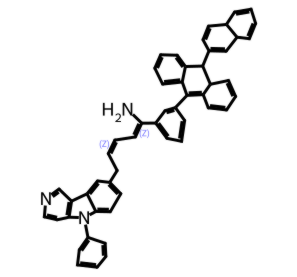 N/C(=C\C=C/Cc1ccc2c(c1)c1cnccc1n2-c1ccccc1)c1cccc(C2=C3C=CC=CC3C(C3=CC4C=CC=CC4C=C3)c3ccccc32)c1